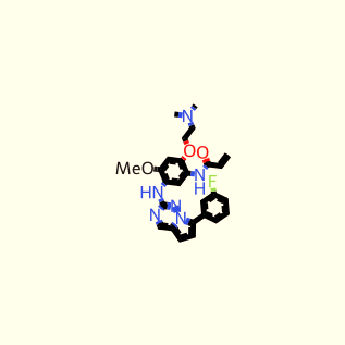 C=CC(=O)Nc1cc(Nc2ncc3ccc(-c4cccc(F)c4)n3n2)c(OC)cc1OCCN(C)C